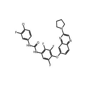 O=C(Nc1ccc(Cl)c(F)c1)Nc1cc(F)c(Oc2ccc3ncc(N4CCCC4)nc3c2)c(F)c1F